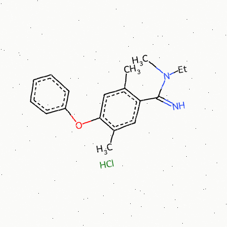 CCN(C)C(=N)c1cc(C)c(Oc2ccccc2)cc1C.Cl